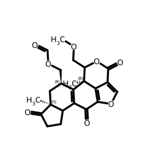 COCC1OC(=O)c2coc3c2[C@@]1(C)C1=C(C3=O)C2CCC(=O)[C@@]2(C)C[C@H]1COC=O